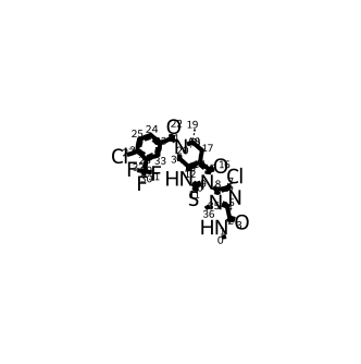 CNC(=O)c1nc(Cl)c(-n2c(=S)[nH]c3c(c2=O)C[C@@H](C)N(C(=O)c2ccc(Cl)c(C(F)(F)F)c2)C3)n1C